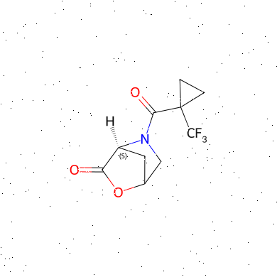 O=C1OC2C[C@@H]1N(C(=O)C1(C(F)(F)F)CC1)C2